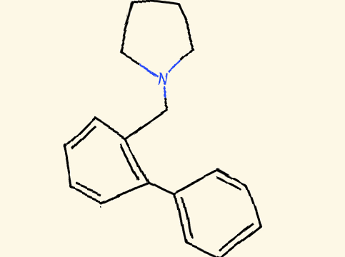 [c]1cccc(CN2CCCC2)c1-c1ccccc1